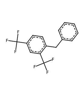 FC(F)(F)c1ccc(Cc2ccccc2)c(C(F)(F)F)c1